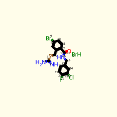 Br.N=C(N)SCc1cc(Br)ccc1C(=O)NCc1ccc(F)c(Cl)c1